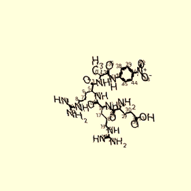 C[C@H](NC(=O)[C@H](CCCNC(=N)N)NC(=O)[C@H](CCCNC(=N)N)NC(=O)[C@@H](N)CCC(=O)O)C(=O)Nc1ccc([N+](=O)[O-])cc1